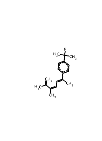 C=C(C)/C(C)=C\C=C(/C)c1ccc(C(C)(C)F)cc1